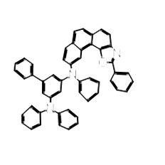 c1ccc(-c2cc(N(c3ccccc3)c3ccccc3)cc(N(c3ccccc3)c3ccc4ccc5ccc6nc(-c7ccccc7)oc6c5c4c3)c2)cc1